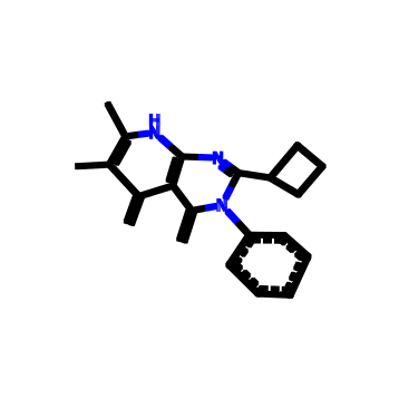 C=C1C(C)=C(C)NC2=C1C(=C)N(c1ccccc1)C(C1CCC1)=N2